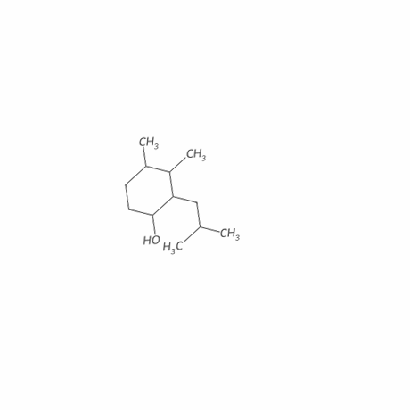 CC(C)CC1C(O)CCC(C)C1C